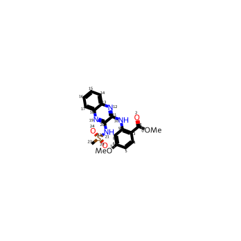 COC(=O)c1ccc(OC)cc1Nc1nc2ccccc2nc1NS(C)(=O)=O